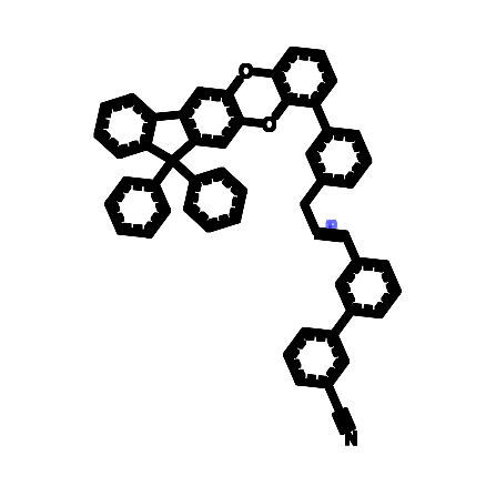 N#Cc1cccc(-c2cccc(/C=C/Cc3cccc(-c4cccc5c4Oc4cc6c(cc4O5)-c4ccccc4C6(c4ccccc4)c4ccccc4)c3)c2)c1